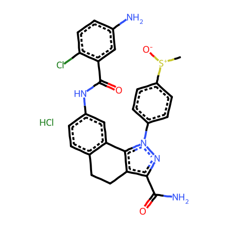 C[S+]([O-])c1ccc(-n2nc(C(N)=O)c3c2-c2cc(NC(=O)c4cc(N)ccc4Cl)ccc2CC3)cc1.Cl